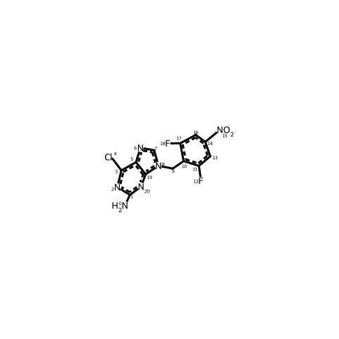 Nc1nc(Cl)c2ncn(Cc3c(F)cc([N+](=O)[O-])cc3F)c2n1